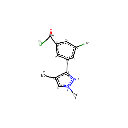 CCc1cn(CC)nc1-c1cc(F)cc(C(=O)Cl)c1